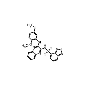 COc1ccc(OC)c(Nc2nc3ccccc3nc2NS(=O)(=O)c2cccc3nsnc23)c1